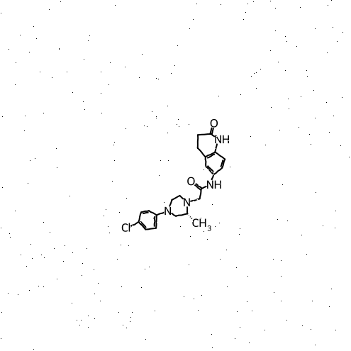 C[C@@H]1CN(c2ccc(Cl)cc2)CCN1CC(=O)Nc1ccc2c(c1)CCC(=O)N2